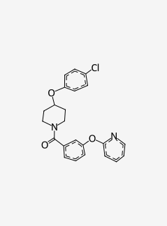 O=C(c1cccc(Oc2ccccn2)c1)N1CCC(Oc2ccc(Cl)cc2)CC1